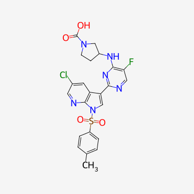 Cc1ccc(S(=O)(=O)n2cc(-c3ncc(F)c(NC4CCN(C(=O)O)C4)n3)c3cc(Cl)cnc32)cc1